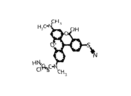 CN(C)c1ccc2c(-c3ccc(SC#N)cc3C(=O)O)c3ccc(N(C)C)cc3[o+]c2c1.N=C=S.[Cl-]